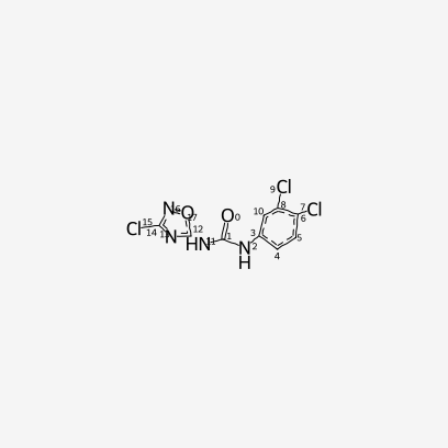 O=C(Nc1ccc(Cl)c(Cl)c1)Nc1nc(Cl)no1